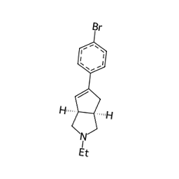 CCN1C[C@@H]2CC(c3ccc(Br)cc3)=C[C@@H]2C1